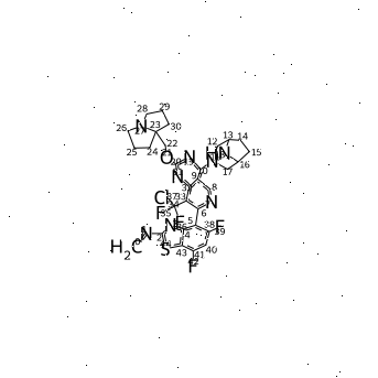 C=Nc1nc2c(-c3ncc4c(N5CC6CCC(C5)N6)nc(OCC56CCCN5CCC6)nc4c3C(F)(F)Cl)c(F)cc(F)c2s1